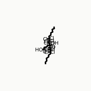 CCCCCCCC(Cl)(Cl)C(Cl)(Cl)C(Cl)(Cl)C(CCCC(=O)O)(C(=O)O)C(Cl)(Cl)C(Cl)(Cl)C(Cl)(Cl)CCCCCCC